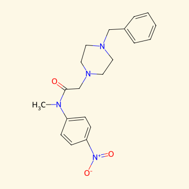 CN(C(=O)CN1CCN(Cc2ccccc2)CC1)c1ccc([N+](=O)[O-])cc1